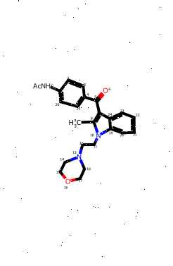 CC(=O)Nc1ccc(C(=O)c2c(C)n(CCN3CCOCC3)c3ccccc23)cc1